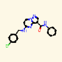 O=C(Nc1ccccc1)c1cnn2ccc(NCc3ccc(Cl)cc3)nc12